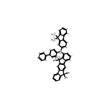 CC(C)C1(C(C)C)c2ccccc2-c2cc3c(cc21)-c1cccc(N(c2ccc(-c4ccccc4)cc2)c2ccc4c(c2)C(C)(C)c2ccccc2-4)c1C3(C(C)C)C(C)C